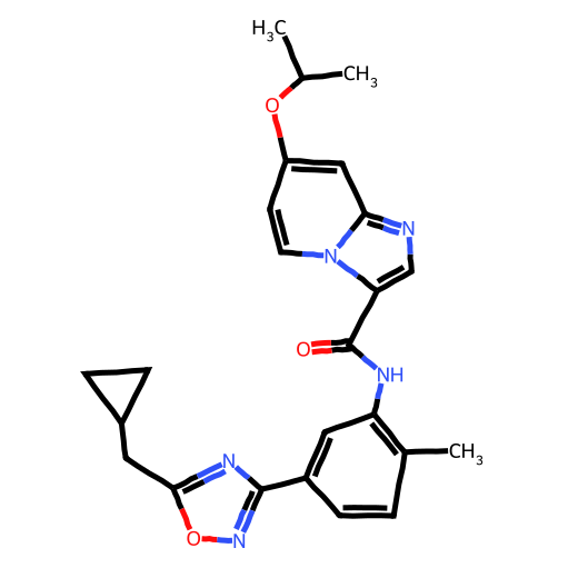 Cc1ccc(-c2noc(CC3CC3)n2)cc1NC(=O)c1cnc2cc(OC(C)C)ccn12